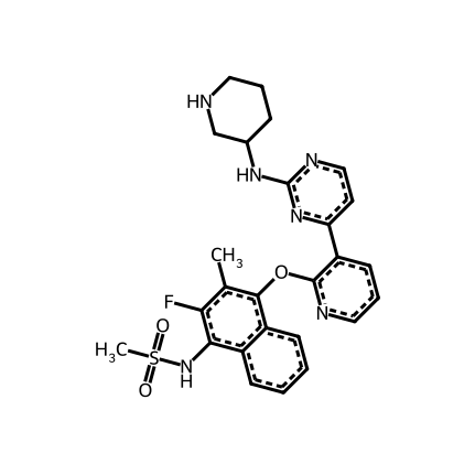 Cc1c(F)c(NS(C)(=O)=O)c2ccccc2c1Oc1ncccc1-c1ccnc(NC2CCCNC2)n1